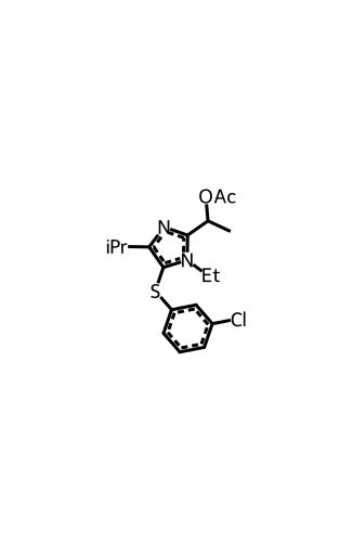 CCn1c(C(C)OC(C)=O)nc(C(C)C)c1Sc1cccc(Cl)c1